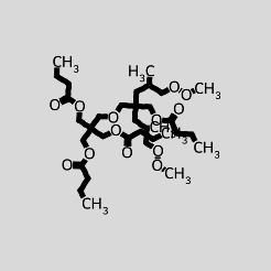 CCCC(=O)OCC(COCC(COC(=O)CCC)(CC(C)COOC)CC(C)COOC)(COC(=O)CCC)COC(=O)CCC